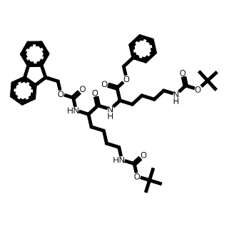 CC(C)(C)OC(=O)NCCCCC(NC(=O)OCC1c2ccccc2-c2ccccc21)C(=O)NC(CCCCNC(=O)OC(C)(C)C)C(=O)OCc1ccccc1